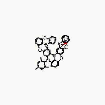 Cc1cc(C)c(N2c3cc4c(cc3B3c5cc6c(cc5Oc5cccc2c53)Oc2cccc3c2B6c2ccccc2O3)B2c3ccccc3Oc3cccc(c32)O4)c(C)c1